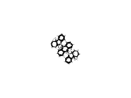 CC12CCCCC1(C)N(c1c3ccccc3c(N3c4ccccc4C4(C)CCCCC34C)c3ccccc13)c1ccccc12